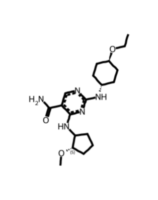 CCO[C@H]1CC[C@H](Nc2ncc(C(N)=O)c(NC3CCC[C@@H]3OC)n2)CC1